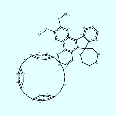 COc1cc2c3c(c4c(c2cc1OC)-c1ccccc1C41CCCCCC1)C=CC1(CCCCc2ccc(cc2)Oc2ccc(cc2)Oc2ccc1cc2)O3